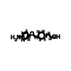 Nc1ccc(OCC2CCN(CCO)CC2)cn1